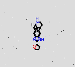 CC1(C)[C@H]2Cc3cc4nc([C@H]5CCCO5)[nH]c4cc3[C@]1(C)CCN2